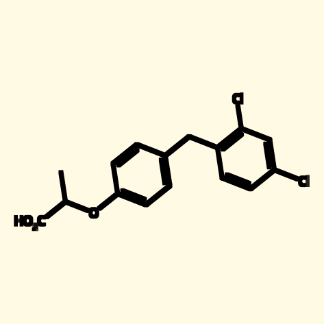 CC(Oc1ccc(Cc2ccc(Cl)cc2Cl)cc1)C(=O)O